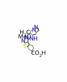 COC1(C)Cn2nccc2C=C1Nc1ncnc2sc3c(c12)CCC(C(=O)O)C3